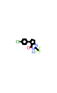 O=c1[nH]c(C(F)(F)F)nc2c1C(c1ccc(Cl)cc1)=CC2